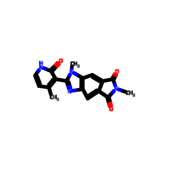 Cc1cc[nH]c(=O)c1-c1nc2cc3c(cc2n1C)C(=O)N(C)C3=O